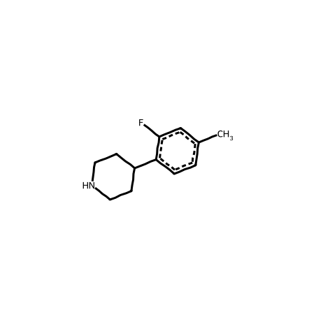 Cc1ccc(C2CCNCC2)c(F)c1